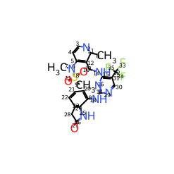 Cc1nccc(N(C)S(C)(=O)=O)c1CNc1nc(Nc2cccc3c2NC(=O)C3)ncc1C(F)(F)F